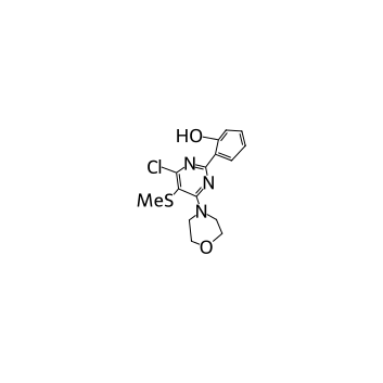 CSc1c(Cl)nc(-c2ccccc2O)nc1N1CCOCC1